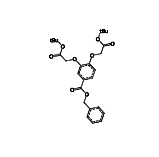 CC(C)(C)OC(=O)COc1ccc(C(=O)OCc2ccccc2)cc1OCC(=O)OC(C)(C)C